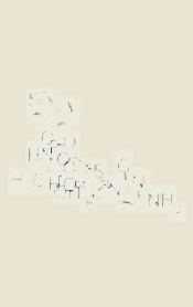 CC(NP(=O)(OC[C@H]1S[C@@H](n2ccc(N)nc2=O)[C@@H](F)[C@@H]1O)Oc1cccc2ccccc12)C(=O)O